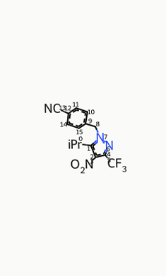 CC(C)c1c([N+](=O)[O-])c(C(F)(F)F)nn1Cc1ccc(C#N)cc1